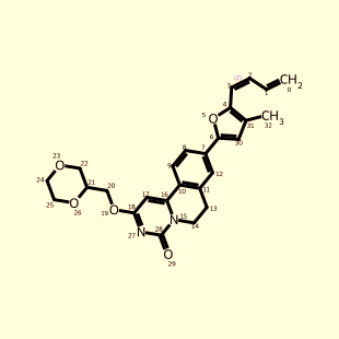 C=C/C=C\c1oc(-c2ccc3c(c2)CCn2c-3cc(OCC3COCCO3)nc2=O)cc1C